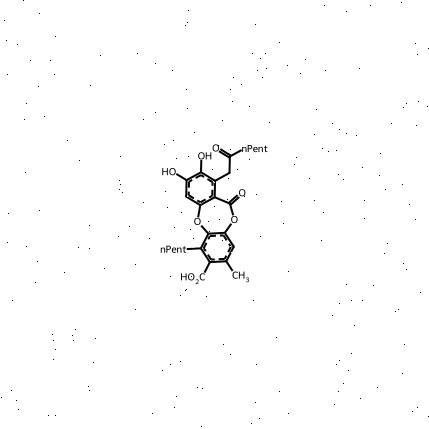 CCCCCC(=O)Cc1c(O)c(O)cc2c1C(=O)Oc1cc(C)c(C(=O)O)c(CCCCC)c1O2